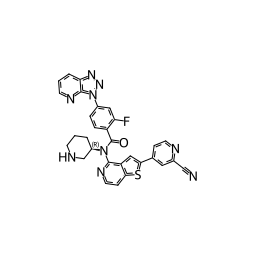 N#Cc1cc(-c2cc3c(N(C(=O)c4ccc(-n5nnc6cccnc65)cc4F)[C@@H]4CCCNC4)nccc3s2)ccn1